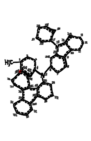 Cc1ccc(N(c2ccc3c4ccccc4n(-c4ccccc4)c3c2)c2cccc3c4ccccc4c4ccccc4c23)cc1